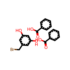 O=C(O)c1ccccc1.O=C(O)c1ccccc1.Oc1cc(O)cc(CBr)c1